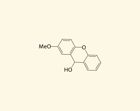 COc1ccc2c(c1)C(O)c1ccccc1O2